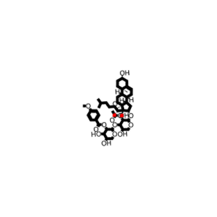 COc1ccc(C(=O)OC2C(OC3C(O)COC(O[C@H]4C[C@H]5[C@@H]6CC=C7C[C@@H](O)CC[C@]7(C)[C@H]6CC[C@]5(C)[C@@]4(O)[C@H](C)C(=O)CCC(C)C)C3OC(C)=O)OCC(O)C2O)cc1